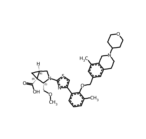 COC[C@H]1N(c2nc(-c3cccc(C)c3OCc3cc(C)c4c(c3)CCN(C3CCOCC3)C4)cs2)C[C@@H]2C[C@@]21C(=O)O